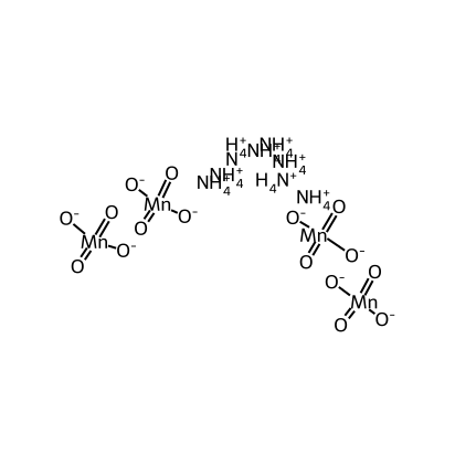 [NH4+].[NH4+].[NH4+].[NH4+].[NH4+].[NH4+].[NH4+].[NH4+].[O]=[Mn](=[O])([O-])[O-].[O]=[Mn](=[O])([O-])[O-].[O]=[Mn](=[O])([O-])[O-].[O]=[Mn](=[O])([O-])[O-]